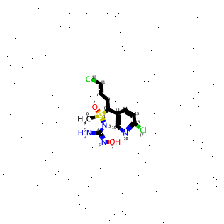 CS(=O)(=N/C(N)=N\O)C(C/C=C/Cl)c1ccc(Cl)nc1